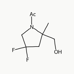 CC(=O)N1CC(F)(F)CC1(C)CO